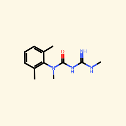 CNC(=N)NC(=O)N(C)c1c(C)cccc1C